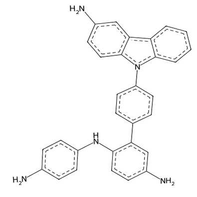 Nc1ccc(Nc2ccc(N)cc2-c2ccc(-n3c4ccccc4c4cc(N)ccc43)cc2)cc1